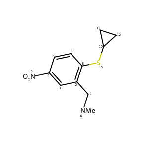 CNCc1cc([N+](=O)[O-])ccc1SC1CC1